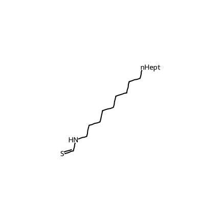 CCCCCCCCCCCCCCCCNC=S